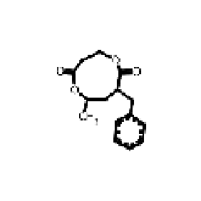 CC1CC(Cc2ccccc2)C(=O)OCCC(=O)O1